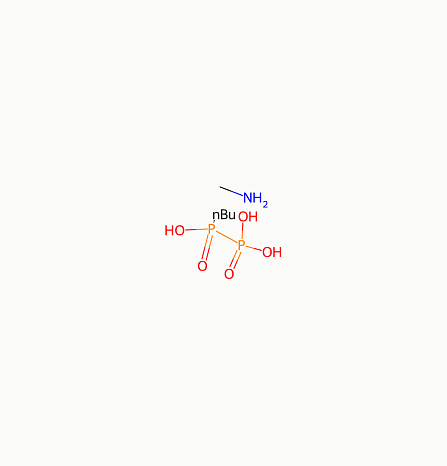 CCCCP(=O)(O)P(=O)(O)O.CN